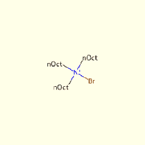 CCCCCCCC[N+](Br)(CCCCCCCC)CCCCCCCC